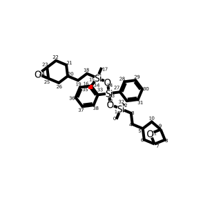 C[Si](C)(CCC1CC2CC(C1)O2)O[Si](O[Si](C)(C)CCC1CCC2OC2C1)(c1ccccc1)c1ccccc1